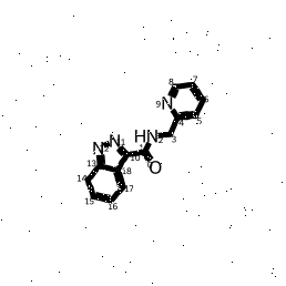 O=C(NCc1ccccn1)C1=NN=C2CC=CC=C21